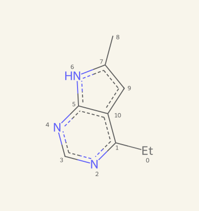 CCc1ncnc2[nH]c(C)cc12